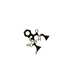 O=C(NCC1CC1)c1c(NC(O)C2CC2F)sc2c1CCCC2